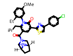 CCc1ccc(OC)cc1-n1c(CC(C)C)c(C(=O)N2C[C@H]3CC[C@@H](C2)N3)cc(-c2nc(-c3ccc(Cl)cc3)cs2)c1=O